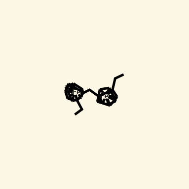 CC[C]12[CH]3[CH]4[CH]5[C]1(C[C]16[CH]7[CH]8[CH]9[C]1(CC)[Fe]89761%10%11%12[CH]6[CH]1[CH]%10[CH]%11[CH]6%12)[Fe]43521678[CH]2[CH]1[CH]6[CH]7[CH]28